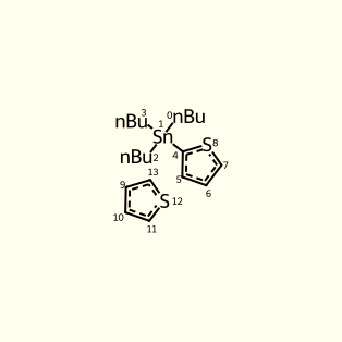 CCC[CH2][Sn]([CH2]CCC)([CH2]CCC)[c]1cccs1.c1ccsc1